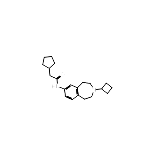 O=C(CC1CCCC1)Nc1ccc2c(c1)CCN(C1CCC1)CC2